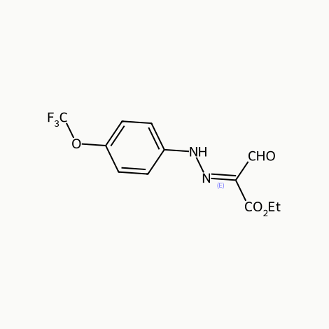 CCOC(=O)/C(C=O)=N/Nc1ccc(OC(F)(F)F)cc1